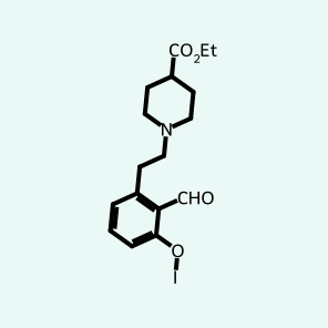 CCOC(=O)C1CCN(CCc2cccc(OI)c2C=O)CC1